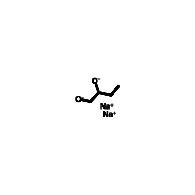 CCC([O-])C[O-].[Na+].[Na+]